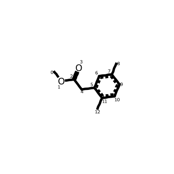 COC(=O)Cc1cc(C)ccc1C